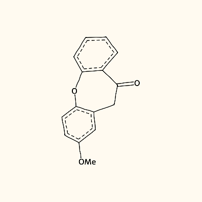 COc1ccc2c(c1)CC(=O)c1ccccc1O2